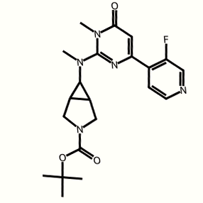 CN(c1nc(-c2ccncc2F)cc(=O)n1C)C1C2CN(C(=O)OC(C)(C)C)CC21